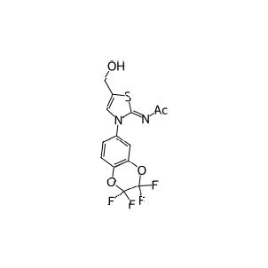 CC(=O)N=c1sc(CO)cn1-c1ccc2c(c1)OC(F)(F)C(F)(F)O2